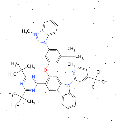 C[n+]1cn(-c2cc(Oc3cc4c(cc3-c3nc(C(C)(C)C)nc(C(C)(C)C)n3)c3ccccc3n4-c3cc(C(C)(C)C)ccn3)cc(C(C)(C)C)c2)c2ccccc21